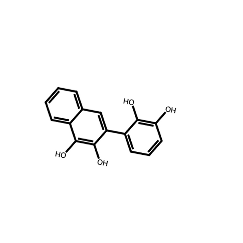 Oc1cccc(-c2cc3ccccc3c(O)c2O)c1O